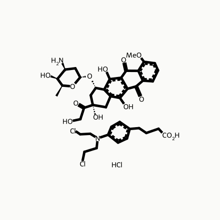 COc1cccc2c1C(=O)c1c(O)c3c(c(O)c1C2=O)C[C@@](O)(C(=O)CO)C[C@@H]3O[C@H]1C[C@H](N)[C@H](O)[C@H](C)O1.Cl.O=C(O)CCCc1ccc(N(CCCl)CCCl)cc1